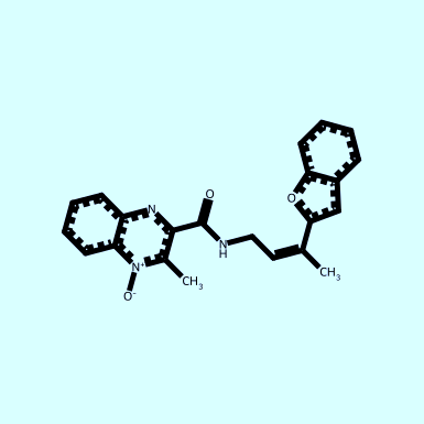 CC(=CCNC(=O)c1nc2ccccc2[n+]([O-])c1C)c1cc2ccccc2o1